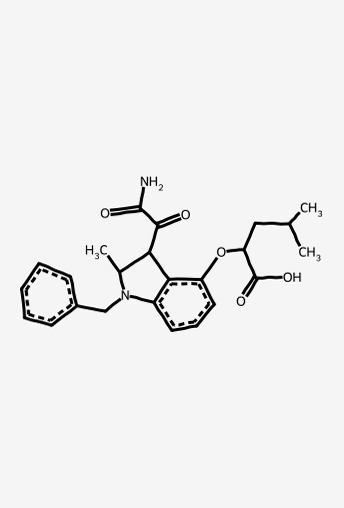 CC(C)CC(Oc1cccc2c1C(C(=O)C(N)=O)C(C)N2Cc1ccccc1)C(=O)O